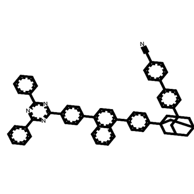 N#Cc1ccc(-c2ccc(C34CC5CC(C3)CC(c3ccc(-c6ccc(-c7ccc(-c8nc(-c9ccccc9)nc(-c9ccccc9)n8)cc7)c7ccccc67)cc3)(C5)C4)cc2)cc1